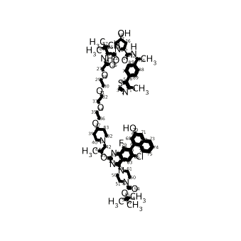 Cc1ncsc1-c1ccc(C(C)NC(=O)[C@@H]2C[C@@H](O)CN2C(=O)C(NC(=O)COCCOCCOCCOC2CCN(CC(C)Oc3nc(N4CCN(C(=O)OC(C)(C)C)CC4)c4cc(Cl)c(-c5cc(O)cc6ccccc56)c(F)c4n3)CC2)C(C)(C)C)cc1